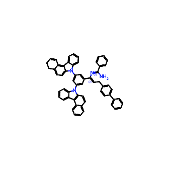 N/C(=N\C(=C/Cc1ccc(-c2ccccc2)cc1)c1cc(-n2c3ccccc3c3c4c(ccc32)CCC=C4)cc(-n2c3ccccc3c3c4ccccc4ccc32)c1)c1ccccc1